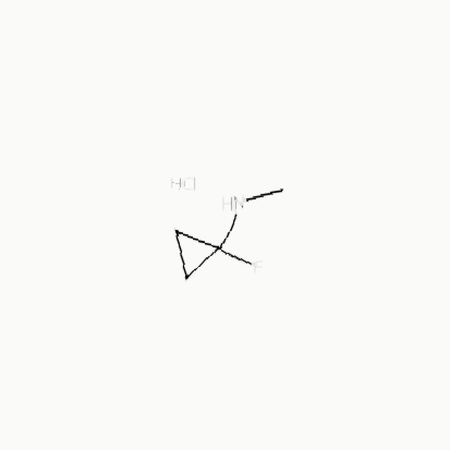 CNC1(F)CC1.Cl